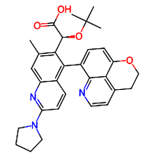 Cc1cc2nc(N3CCCC3)ccc2c(-c2ccc3c4c(ccnc24)CCO3)c1[C@H](OC(C)(C)C)C(=O)O